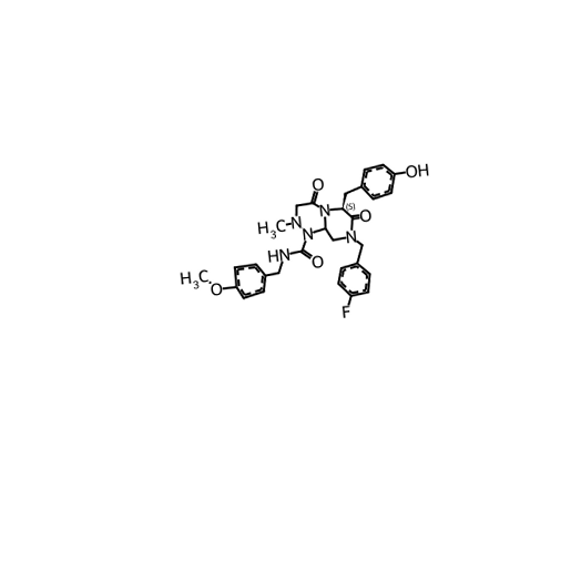 COc1ccc(CNC(=O)N2C3CN(Cc4ccc(F)cc4)C(=O)[C@H](Cc4ccc(O)cc4)N3C(=O)CN2C)cc1